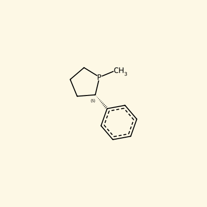 CP1CCC[C@H]1c1ccccc1